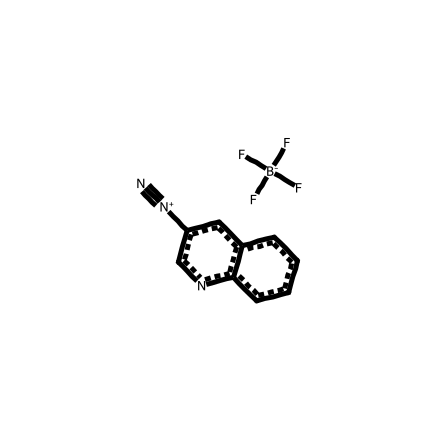 F[B-](F)(F)F.N#[N+]c1cnc2ccccc2c1